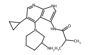 CC(C)C(=O)Nc1c[nH]c2ncc(C3CC3)c(N3CCCC(N)C3)c12